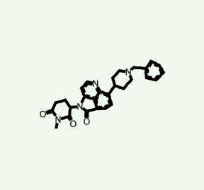 CN1C(=O)CCC(N2C(=O)c3ccc(C4CCN(Cc5ccccc5)CC4)c4nccc2c34)C1=O